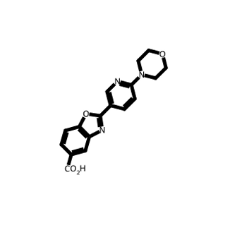 O=C(O)c1ccc2oc(-c3ccc(N4CCOCC4)nc3)nc2c1